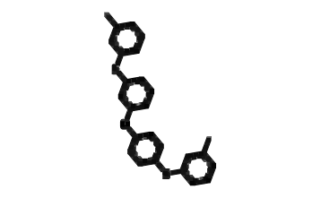 Cc1cccc(Sc2ccc(Oc3cccc(Sc4cccc(C)c4)c3)cc2)c1